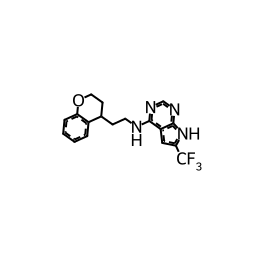 FC(F)(F)c1cc2c(NCCC3CCOc4ccccc43)ncnc2[nH]1